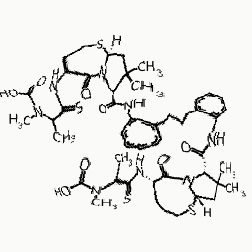 CC(C(=S)N[C@H]1CCS[C@H]2CC(C)(C)[C@@H](C(=O)Nc3ccccc3CCc3ccccc3NC(=O)[C@H]3N4C(=O)[C@@H](NC(=S)C(C)N(C)C(=O)O)CCS[C@H]4CC3(C)C)N2C1=O)N(C)C(=O)O